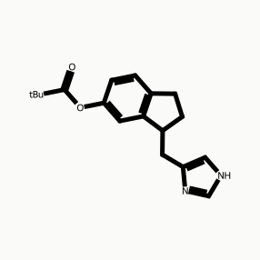 CC(C)(C)C(=O)Oc1ccc2c(c1)C(Cc1c[nH]cn1)CC2